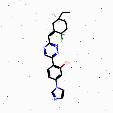 CC[C@@]1(C)CC[C@@H](F)/C(=C\c2ncc(-c3ccc(-n4ccnc4)cc3O)nn2)C1